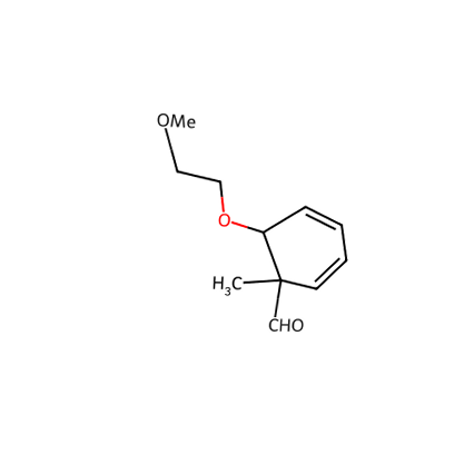 COCCOC1C=CC=CC1(C)C=O